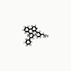 CC(C)Cc1ccnc(-c2cccc(-c3ccccc3-c3cccc(-c4ccccc4)n3)c2)c1